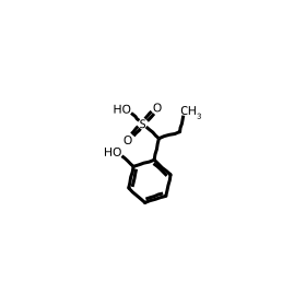 CCC(c1ccccc1O)S(=O)(=O)O